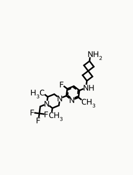 Cc1nc(N2CC(C)N(CC(F)(F)F)C(C)C2)c(F)cc1NC1CC2(CC(N)C2)C1